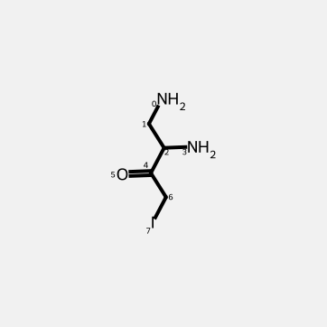 NCC(N)C(=O)CI